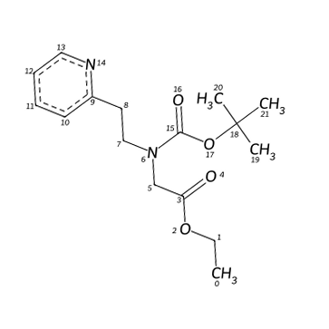 CCOC(=O)CN(CCc1ccccn1)C(=O)OC(C)(C)C